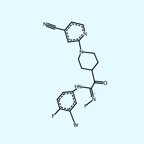 N#Cc1ccnc(N2CCC(C(=O)/C(=N/I)Nc3ccc(F)c(Br)c3)CC2)c1